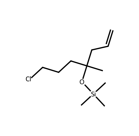 C=CCC(C)(CCCCl)O[Si](C)(C)C